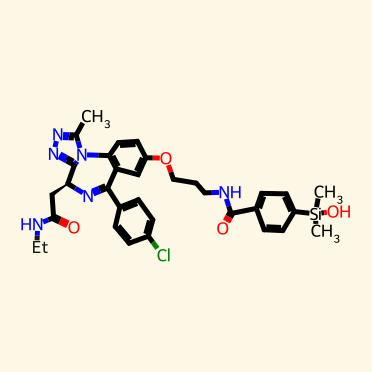 CCNC(=O)C[C@@H]1N=C(c2ccc(Cl)cc2)c2cc(OCCCNC(=O)c3ccc([Si](C)(C)O)cc3)ccc2-n2c(C)nnc21